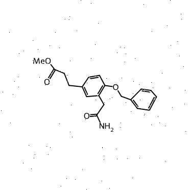 COC(=O)CCc1ccc(OCc2ccccc2)c(CC(N)=O)c1